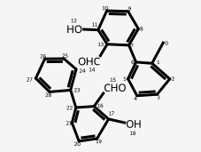 Cc1ccccc1-c1cccc(O)c1C=O.O=Cc1c(O)cccc1-c1ccccc1